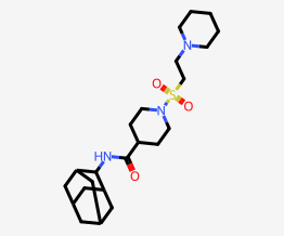 O=C(NC1C2CC3CC(C2)CC1C3)C1CCN(S(=O)(=O)CCN2CCCCC2)CC1